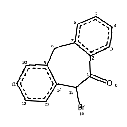 O=C1c2ccccc2Cc2ccccc2C1Br